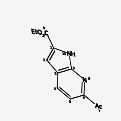 CCOC(=O)c1cc2ccc(C(C)=O)nc2[nH]1